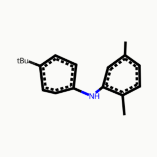 Cc1ccc(C)c(Nc2ccc(C(C)(C)C)cc2)c1